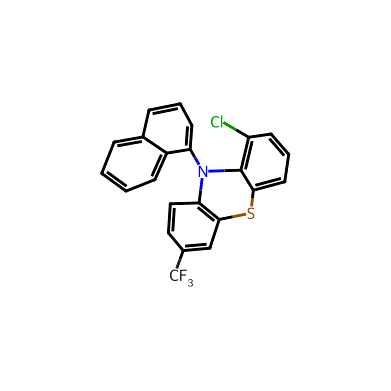 FC(F)(F)c1ccc2c(c1)Sc1cccc(Cl)c1N2c1cccc2ccccc12